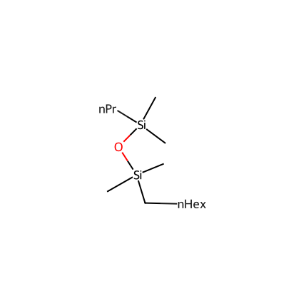 CCCCCCC[Si](C)(C)O[Si](C)(C)CCC